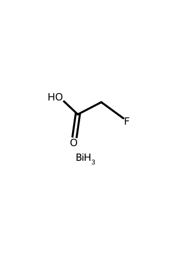 O=C(O)CF.[BiH3]